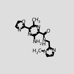 Cc1nc(C(=O)NCc2nccn2C)c(N)nc1-c1ncco1